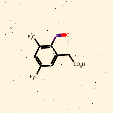 O=Ic1c(CC(=O)O)cc(C(F)(F)F)cc1C(F)(F)F